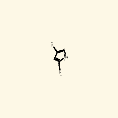 Fc1[c]c(F)[nH]c1